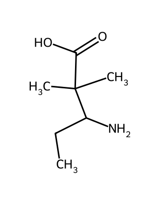 CCC(N)C(C)(C)C(=O)O